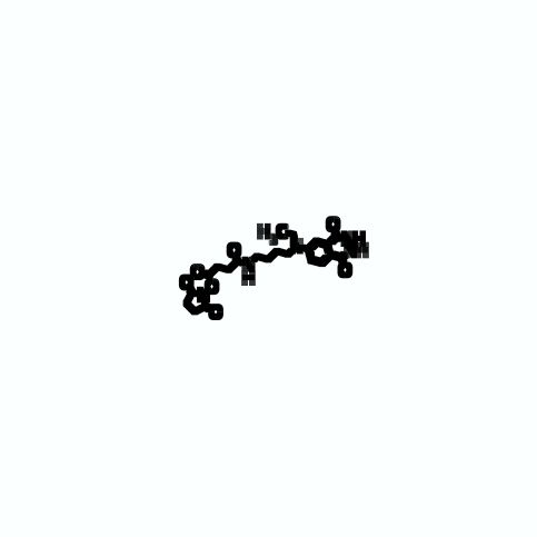 CCN(CCCCNC(=O)CCC(=O)ON1C(=O)CCC1=O)c1ccc2c(=O)[nH][nH]c(=O)c2c1